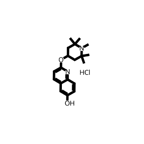 CN1C(C)(C)CC(Oc2ccc3cc(O)ccc3n2)CC1(C)C.Cl